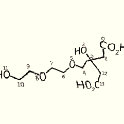 O=C(O)CC(O)(COCCOCCO)CC(=O)O